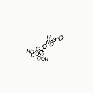 O=C(O)COc1c(C(=O)O)sc(-c2ccc(NC(=O)COCc3ccccc3)cc2)c1Cl